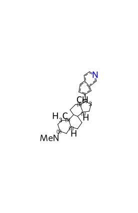 CN[C@H]1CC[C@]2(C)C3CC[C@]4(C)[C@@H](c5ccc6ccncc6c5)CC[C@H]4C3CC[C@H]2C1